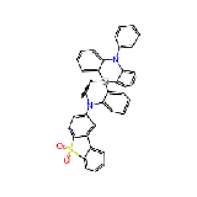 O=S1(=O)c2ccccc2-c2cc(N3c4ccccc4[Si]4(c5ccccc5N(c5ccccc5)c5ccccc54)c4ccccc43)ccc21